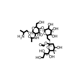 CC(=O)NC1[C@H](OCC(C)N)OC(CO)[C@@H](O[C@@H]2OC(CC[C@]3(OC=O)C[C@@H](O)[C@@H](C)C([C@H](O)[C@H](O)CO)O3)[C@H](O)[C@H](O)C2O)[C@@H]1O